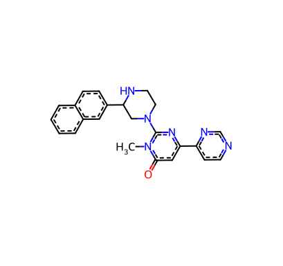 Cn1c(N2CCNC(c3ccc4ccccc4c3)C2)nc(-c2ccncn2)cc1=O